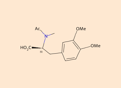 COc1ccc(C[C@@H](C(=O)O)N(C)C(C)=O)cc1OC